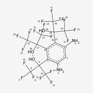 Nc1cc(N)c(C(O)(C(F)(F)F)C(F)(F)F)c(C(O)(C(F)(F)F)C(F)(F)F)c1C(O)(C(F)(F)F)C(F)(F)F